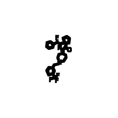 O=c1c2ccccc2c(C(F)c2ccccc2)nn1C1CCCN(CCc2cccc(C(F)(F)F)c2)CC1